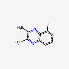 Bc1nc2cccc(C)c2nc1B